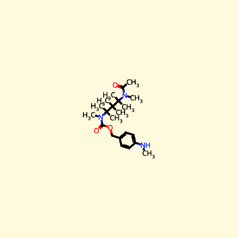 CNc1ccc(COC(=O)N(C)C(C)(C)C(C)(C)C(C)(C)N(C)C(C)=O)cc1